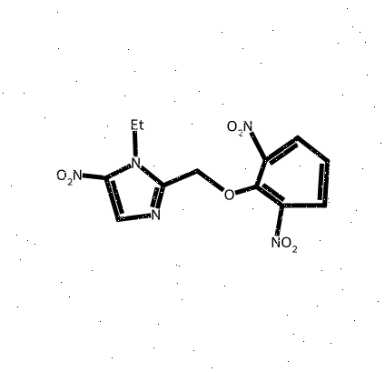 CCn1c([N+](=O)[O-])cnc1COc1c([N+](=O)[O-])cccc1[N+](=O)[O-]